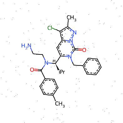 Cc1ccc(C(=O)N(CCN)[C@@H](c2cc3c(Cl)c(C)nn3c(=O)n2Cc2ccccc2)C(C)C)cc1